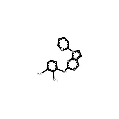 Cc1cccc(Nc2ncc3ccn(-c4ccccn4)c3n2)c1C